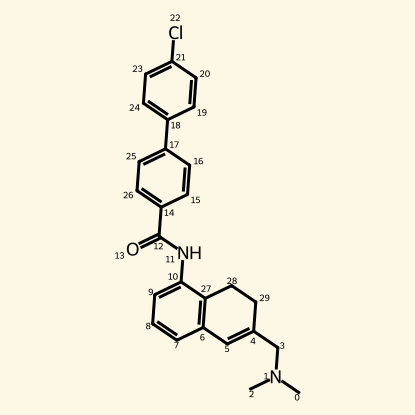 CN(C)CC1=Cc2cccc(NC(=O)c3ccc(-c4ccc(Cl)cc4)cc3)c2CC1